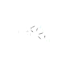 CC(C)(C)c1ccc(F)c(-c2ccc(Cl)cc2Cl)c1